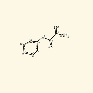 NC(=O)C(=S)Sc1ccccc1